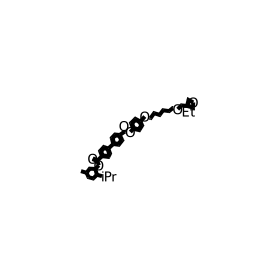 CCC1(COCCCCCCOc2ccc(OC(=O)c3ccc(-c4ccc(C(=O)OC5CC(C)CCC5C(C)C)cc4)cc3)cc2)COC1